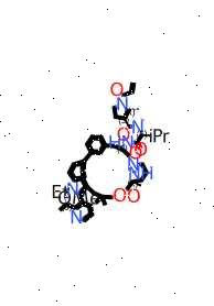 C=CC(=O)N1CC[C@H](C(=O)N(C)[C@H](C(=O)N[C@H]2Cc3cccc(c3)-c3ccc4c(c3)c(c(-c3cccnc3[C@H](C)OC)n4CC)CC(C)(C)COC(=O)[C@@]3(C)CCCN(N3)C2=O)C(C)C)[C@H]1C